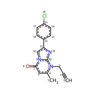 C#CCn1c(C)cc(=O)n2cc(-c3ccc(Cl)cc3)nc12